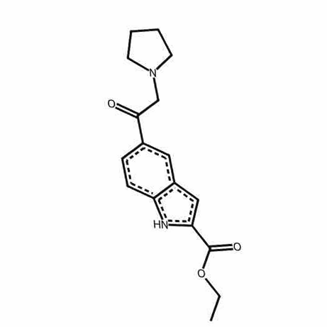 CCOC(=O)c1cc2cc(C(=O)CN3CCCC3)ccc2[nH]1